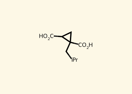 CC(C)CC1(C(=O)O)CC1C(=O)O